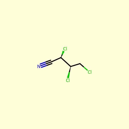 N#C[C@@H](Cl)[C@H](Cl)CCl